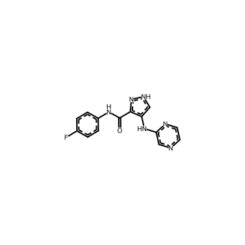 O=C(Nc1ccc(F)cc1)c1n[nH]cc1Nc1cnccn1